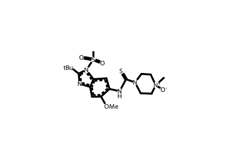 COc1cc2nc(C(C)(C)C)n(S(C)(=O)=O)c2cc1NC(=S)N1CC[N+](C)([O-])CC1